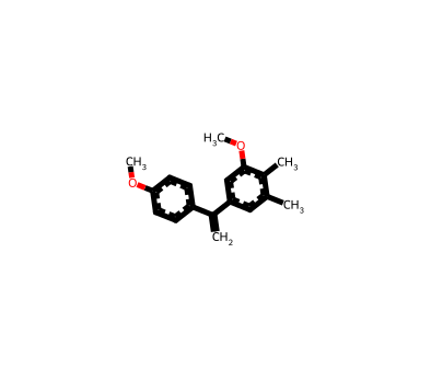 C=C(c1ccc(OC)cc1)c1cc(C)c(C)c(OC)c1